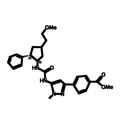 COCCC1C[C@@H](NC(=O)Nc2cc(-c3ccc(C(=O)OC)cc3)nn2C)[C@H](c2ccccc2)C1